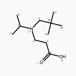 CC(C)N(CCC(=O)O)CC(C)(C)C